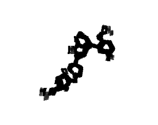 COc1ccc(F)cc1-c1ccnc2[nH]c(C3CCN(Cc4sc(N)nc4Cl)CC3)cc12